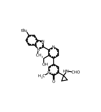 Cn1cc(-c2ccnc(-c3nc4cc(C(C)(C)C)ccc4n3C)c2CO)cc(C2(NC=O)CC2)c1=O